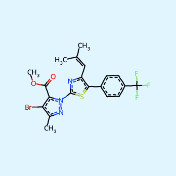 COC(=O)c1c(Br)c(C)nn1-c1nc(C=C(C)C)c(-c2ccc(C(F)(F)F)cc2)s1